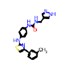 Cc1cccc(-c2csc(Nc3ccc(NC(=O)NCc4cn[nH]c4)cc3)n2)c1